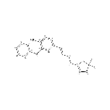 CC1(C)CC(SCC=Cc2ccc(F)c(Oc3ccccc3)c2)=NO1